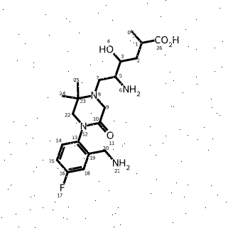 CC(CC(O)C(N)CN1CC(=O)N(c2ccc(F)cc2CN)CC1(C)C)C(=O)O